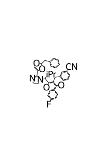 CC(C)C(c1oc2cc(F)ccc2c(=O)c1Cc1cccc(C#N)c1)N1CCN=C1C1=COC(Cc2ccccc2)O1